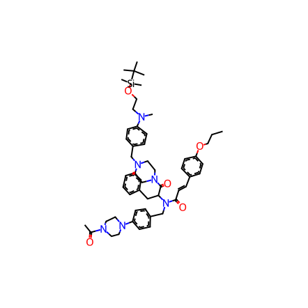 CCCOc1ccc(C=CC(=O)N(Cc2ccc(N3CCN(C(C)=O)CC3)cc2)C(Cc2ccccc2)C(=O)N2CCN(Cc3ccc(N(C)CCO[Si](C)(C)C(C)(C)C)cc3)CC2)cc1